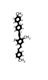 Cc1ccc(CCc2cc(C)c(C#Cc3ccc(-c4ccc(C)cc4)cc3)c(F)c2)cc1